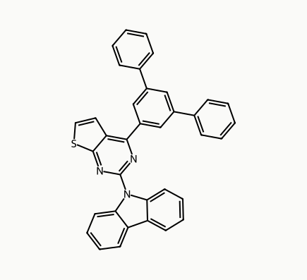 c1ccc(-c2cc(-c3ccccc3)cc(-c3nc(-n4c5ccccc5c5ccccc54)nc4sccc34)c2)cc1